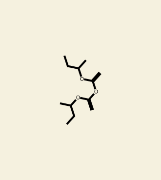 C=C(OC(=C)OC(C)CC)OC(C)CC